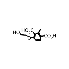 Cc1c(C(=O)O)ccc(OCCO)c1C(=O)O